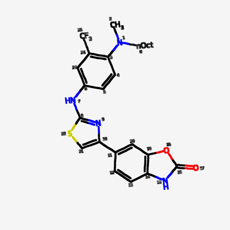 CCCCCCCCN(C)c1ccc(Nc2nc(-c3ccc4[nH]c(=O)oc4c3)cs2)cc1C(F)(F)F